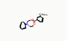 COc1cccc(B2OCCN(c3ccccc3)CCO2)c1